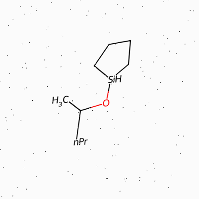 CCCC(C)O[SiH]1CCCC1